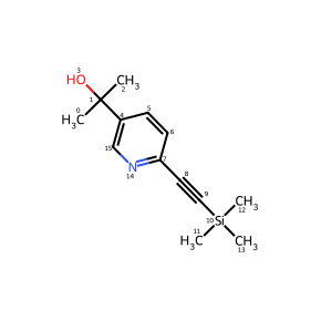 CC(C)(O)c1ccc(C#C[Si](C)(C)C)nc1